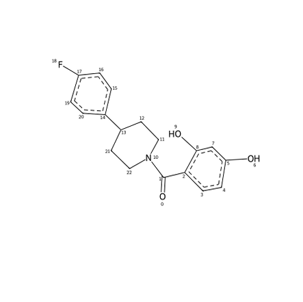 O=C(c1ccc(O)cc1O)N1CCC(c2ccc(F)cc2)CC1